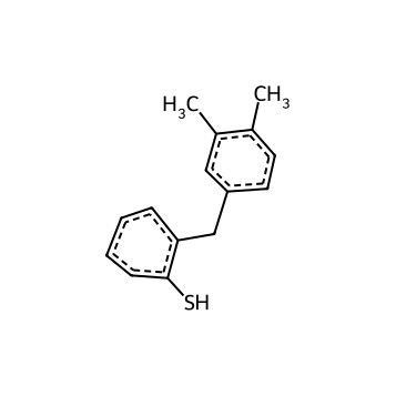 Cc1ccc(Cc2ccccc2S)cc1C